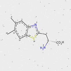 Cc1cc2nc(C[C@@H](N)C(=O)O)sc2cc1C